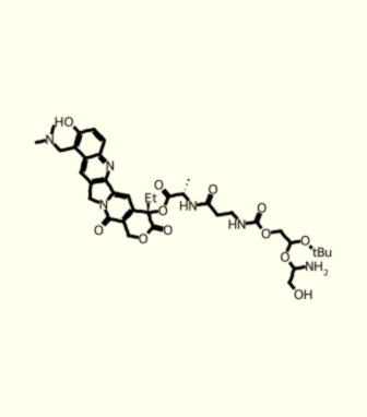 CC[C@@]1(OC(=O)[C@H](C)NC(=O)CCNC(=O)OCC(OC(N)CO)OC(C)(C)C)C(=O)OCc2c1cc1n(c2=O)Cc2cc3c(CN(C)C)c(O)ccc3nc2-1